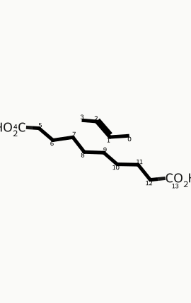 C/C=C/C.O=C(O)CCCCCCCCC(=O)O